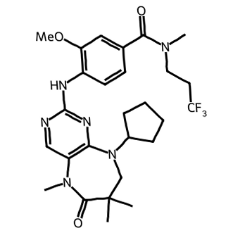 COc1cc(C(=O)N(C)CCC(F)(F)F)ccc1Nc1ncc2c(n1)N(C1CCCC1)CC(C)(C)C(=O)N2C